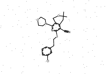 CC1(C)Cc2c(C#N)c(SCCc3cccc(Cl)c3)nc(N3CCOCC3)c2CO1